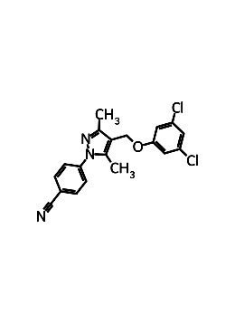 Cc1nn(-c2ccc(C#N)cc2)c(C)c1COc1cc(Cl)cc(Cl)c1